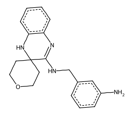 Nc1cccc(CNC2=Nc3ccccc3NC23CCOCC3)c1